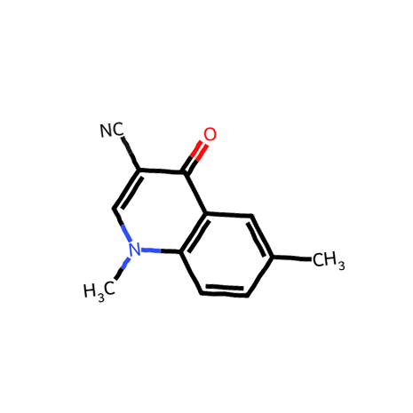 Cc1ccc2c(c1)c(=O)c(C#N)cn2C